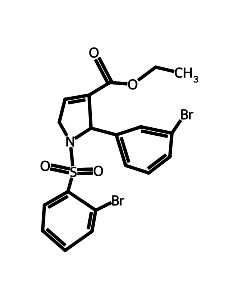 CCOC(=O)C1=CCN(S(=O)(=O)c2ccccc2Br)C1c1cccc(Br)c1